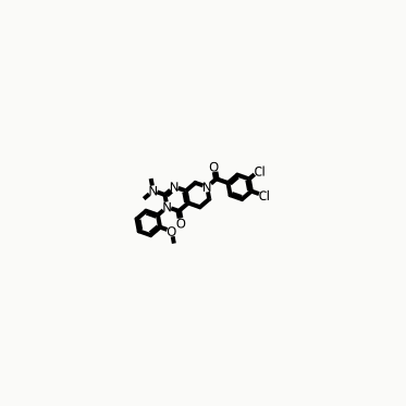 COc1ccccc1-n1c(N(C)C)nc2c(c1=O)CCN(C(=O)c1ccc(Cl)c(Cl)c1)C2